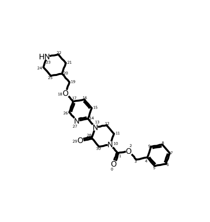 O=C(OCc1ccccc1)N1CCN(c2ccc(OCC3CCNCC3)cn2)C(=O)C1